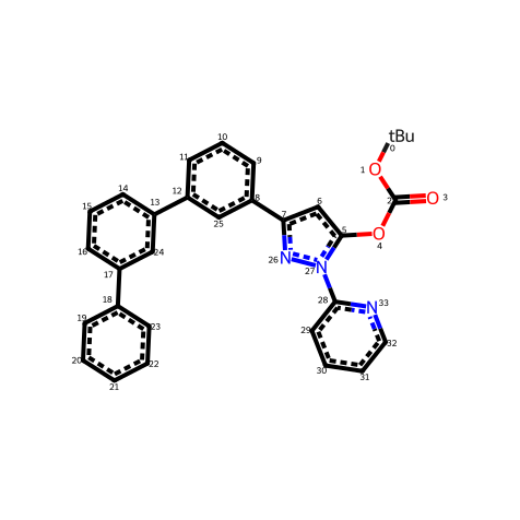 CC(C)(C)OC(=O)Oc1cc(-c2cccc(-c3cccc(-c4ccccc4)c3)c2)nn1-c1ccccn1